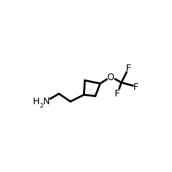 NCCC1CC(OC(F)(F)F)C1